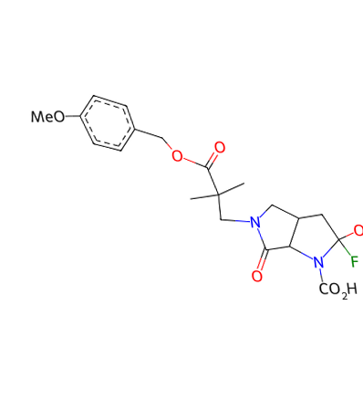 COc1ccc(COC(=O)C(C)(C)CN2CC3CC(O)(F)N(C(=O)O)C3C2=O)cc1